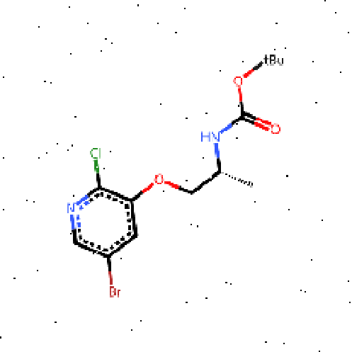 C[C@H](COc1cc(Br)cnc1Cl)NC(=O)OC(C)(C)C